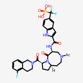 CC(=O)N1CC[C@H]2CC[C@@H](C(=O)N3CCc4c(F)cccc4C3)N2C(=O)[C@@H](NC(=O)c2cc3cc(C(F)(F)P(=O)(O)O)ccc3[nH]2)C1